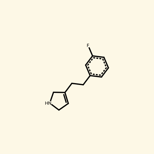 Fc1cccc(CCC2=CCNC2)c1